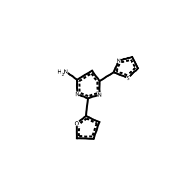 Nc1cc(-c2nccs2)nc(-c2ccco2)n1